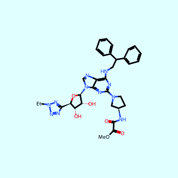 CCn1nnc([C@H]2O[C@@H](n3cnc4c(NCC(c5ccccc5)c5ccccc5)nc(N5CC[C@@H](NC(=O)C(=O)OC)C5)nc43)[C@H](O)[C@@H]2O)n1